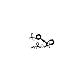 CCOC(=O)COCc1nc2ccccn2c1C#Cc1cccc(OC(F)F)c1